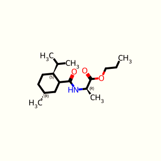 CCCOC(=O)[C@@H](C)NC(=O)C1C[C@H](C)CC[C@H]1C(C)C